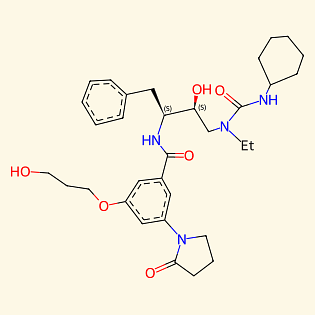 CCN(C[C@H](O)[C@H](Cc1ccccc1)NC(=O)c1cc(OCCCO)cc(N2CCCC2=O)c1)C(=O)NC1CCCCC1